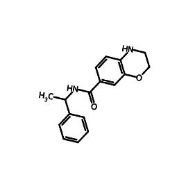 CC(NC(=O)c1ccc2c(c1)OCCN2)c1ccccc1